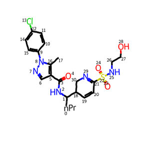 CCCC(NC(=O)c1cnn(-c2ccc(Cl)cc2)c1C)C1C=CC(S(=O)(=O)NCCO)=NC1